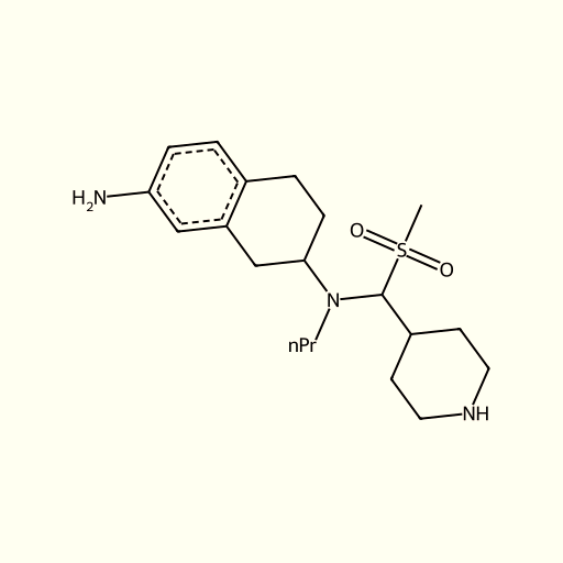 CCCN(C1CCc2ccc(N)cc2C1)C(C1CCNCC1)S(C)(=O)=O